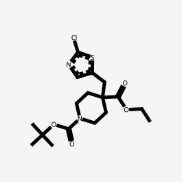 CCOC(=O)C1(Cc2cnc(Cl)s2)CCN(C(=O)OC(C)(C)C)CC1